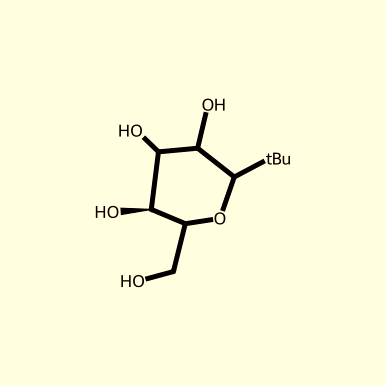 CC(C)(C)C1OC(CO)[C@@H](O)C(O)C1O